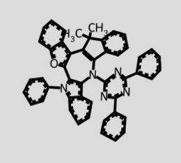 CC1(C)C2=C(c3ccccc31)N(c1nc(-c3ccccc3)nc(-c3ccccc3)n1)c1c(n(-c3ccccc3)c3ccccc13)-c1oc3ccccc3c12